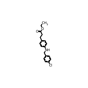 CCOC(=O)CCc1ccc(NCc2ccc(Cl)cc2)cc1